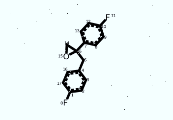 Fc1ccc(CC2(c3ccc(F)cc3)CO2)cc1